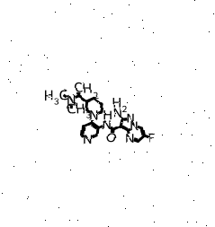 C=C(C1CCCN(c2ccncc2NC(=O)c2c(N)nn3cc(F)cnc23)C1)N(C)C